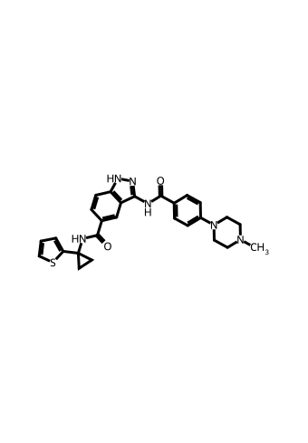 CN1CCN(c2ccc(C(=O)Nc3n[nH]c4ccc(C(=O)NC5(c6cccs6)CC5)cc34)cc2)CC1